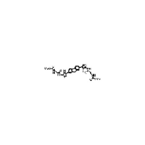 COC(=O)NCCC(=O)Pc1ncc(-c2ccc3c(c2)Cc2cc(-c4cnc(PC(=O)CCNC(=O)OC)[nH]4)ccc2-3)[nH]1